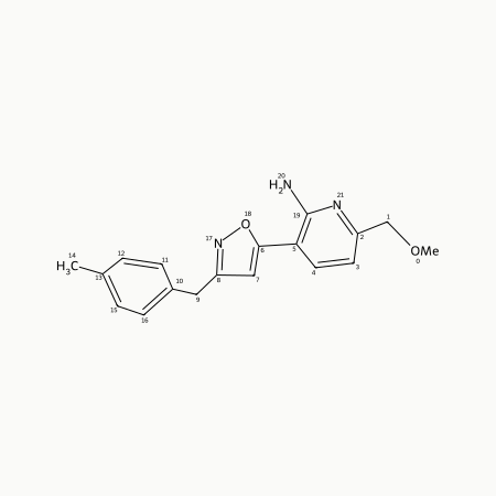 COCc1ccc(-c2cc(Cc3ccc(C)cc3)no2)c(N)n1